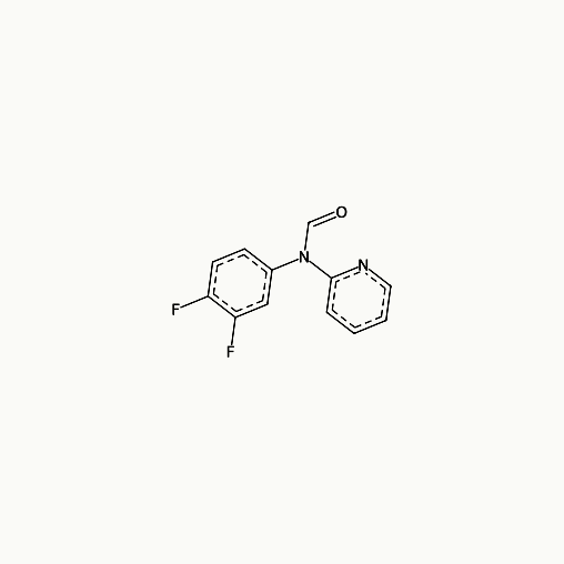 O=CN(c1ccc(F)c(F)c1)c1ccccn1